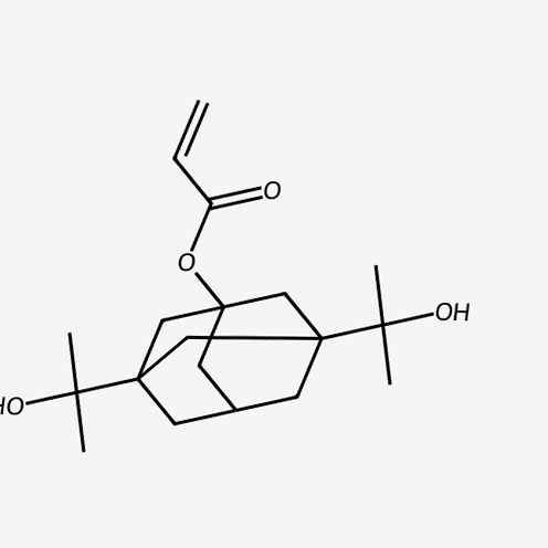 C=CC(=O)OC12CC3CC(C(C)(C)O)(C1)CC(C(C)(C)O)(C3)C2